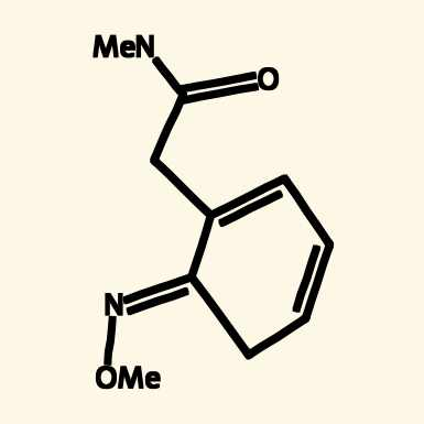 CNC(=O)CC1=CC=CCC1=NOC